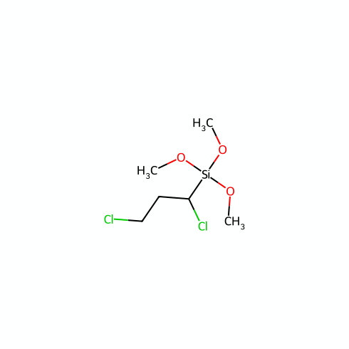 CO[Si](OC)(OC)C(Cl)CCCl